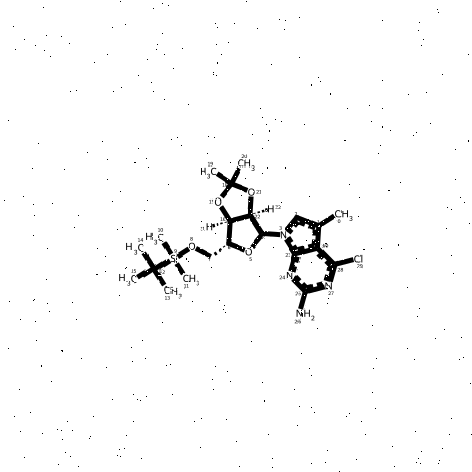 Cc1cn(C2O[C@H](CO[Si](C)(C)C(C)(C)C)[C@H]3OC(C)(C)O[C@@H]23)c2nc(N)nc(Cl)c12